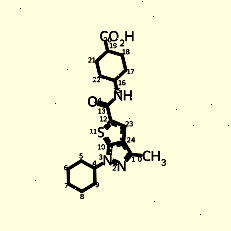 Cc1nn(C2CCCCC2)c2sc(C(=O)NC3CCC(C(=O)O)CC3)cc12